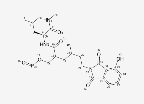 CNC(=O)[C@H](CC(C)C)NC(=O)C(COP=O)CC(C)CCN1C(=O)c2cccc(O)c2C1=O